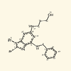 CC(C)n1c(Br)nc2c(NCc3ccccc3)nc(NCCCO)nc21